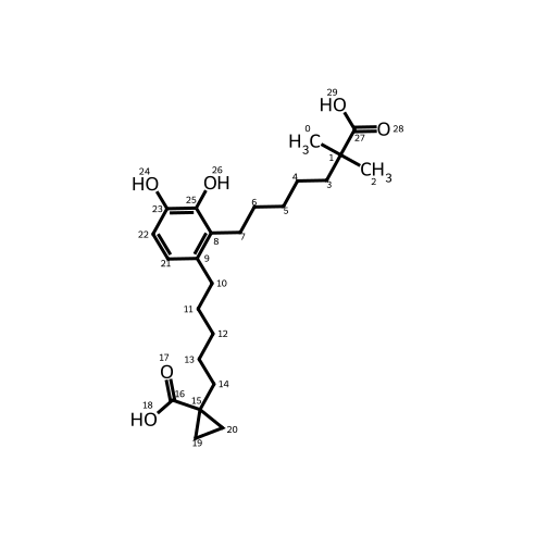 CC(C)(CCCCCc1c(CCCCCC2(C(=O)O)CC2)ccc(O)c1O)C(=O)O